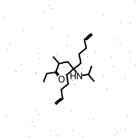 C=CCCCC(CCCC=C)(CC(C)C(=O)CC)NC(C)C